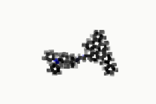 CCC1(CC)C(/C=C/C=C/c2ccc(-c3cc(-c4ccccc4)ccc3-c3ccc4c5ccccc5c5ccccc5c4c3)cc2)=Cc2ccc(N(c3ccccc3)c3ccccc3)cc21